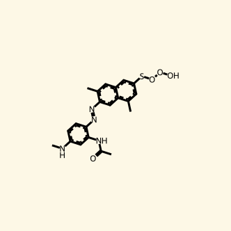 CNc1ccc(N=Nc2cc3c(C)cc(SOOO)cc3cc2C)c(NC(C)=O)c1